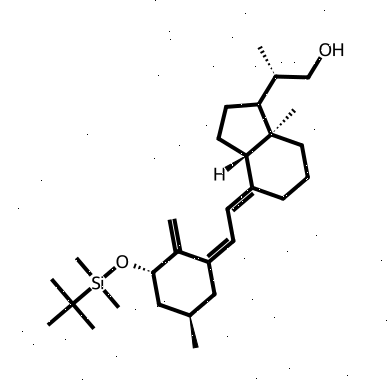 C=C1/C(=C\C=C2/CCC[C@]3(C)C([C@H](C)CO)CC[C@@H]23)C[C@@H](C)C[C@@H]1O[Si](C)(C)C(C)(C)C